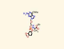 COc1nc(N)nc2c1ncn2COCCOP(=O)(N[C@H](C)C(=O)OC(C)C)Oc1ccc2c(c1)OCO2